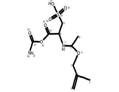 C=C(C)COC(C)NC(CS(=O)(=O)O)C(=O)OC(N)=O